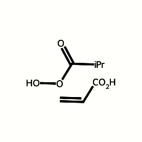 C=CC(=O)O.CC(C)C(=O)OO